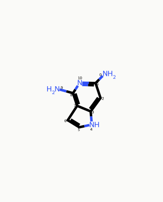 Nc1cc2[nH]ccc2c(N)n1